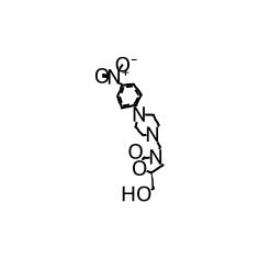 O=C1O[C@H](CO)CN1CN1CCN(c2ccc([N+](=O)[O-])cc2)CC1